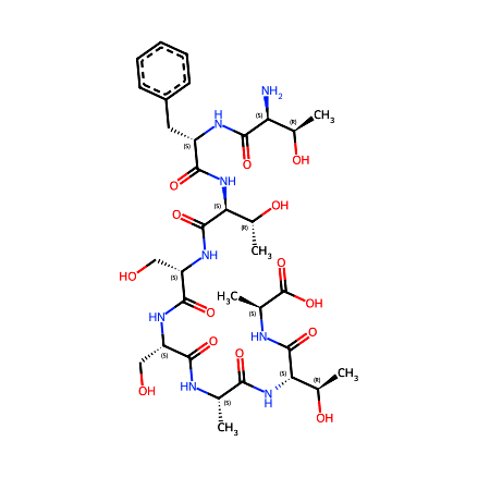 C[C@H](NC(=O)[C@@H](NC(=O)[C@H](C)NC(=O)[C@H](CO)NC(=O)[C@H](CO)NC(=O)[C@@H](NC(=O)[C@H](Cc1ccccc1)NC(=O)[C@@H](N)[C@@H](C)O)[C@@H](C)O)[C@@H](C)O)C(=O)O